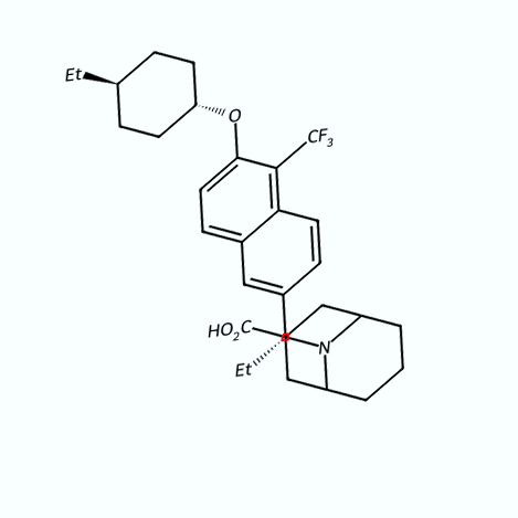 CC[C@H](c1ccc2c(C(F)(F)F)c(O[C@H]3CC[C@H](CC)CC3)ccc2c1)N1C2CCCC1CC(C(=O)O)C2